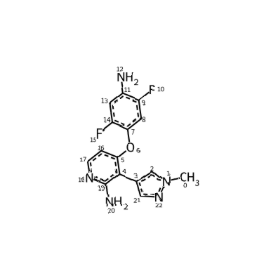 Cn1cc(-c2c(Oc3cc(F)c(N)cc3F)ccnc2N)cn1